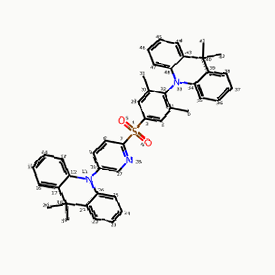 Cc1cc(S(=O)(=O)c2ccc(N3c4ccccc4C(C)(C)c4ccccc43)cn2)cc(C)c1N1c2ccccc2C(C)(C)c2ccccc21